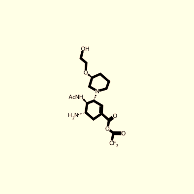 CC(=O)N[C@H]1[C@H](N2CCC[C@H](OCCO)C2)C=C(C(=O)OC(=O)C(F)(F)F)C[C@@H]1N